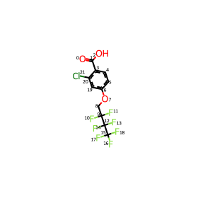 O=C(O)c1ccc(OCC(F)(F)C(F)(F)C(F)(F)F)cc1Cl